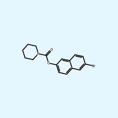 O=C(Oc1ccc2cc(Br)ccc2c1)N1CCCCC1